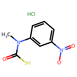 CN(C(=O)S)c1cccc([N+](=O)[O-])c1.Cl